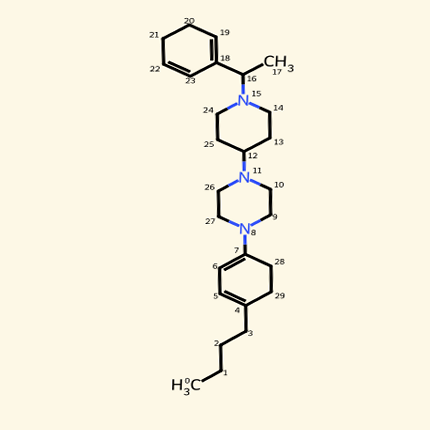 CCCCC1=CC=C(N2CCN(C3CCN(C(C)C4=CCCC=C4)CC3)CC2)CC1